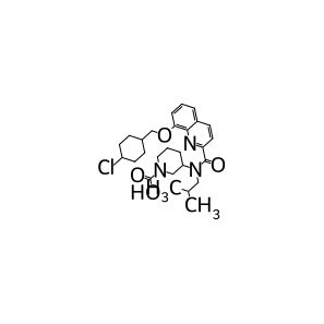 CC(C)CN(C(=O)c1ccc2cccc(OCC3CCC(Cl)CC3)c2n1)C1CCCN(C(=O)O)C1